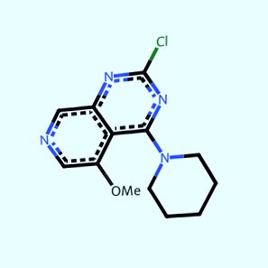 COc1cncc2nc(Cl)nc(N3CCCCC3)c12